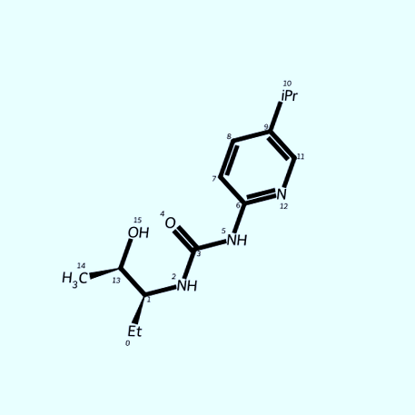 CC[C@H](NC(=O)Nc1ccc(C(C)C)cn1)[C@@H](C)O